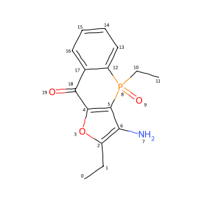 CCc1oc2c(c1N)P(=O)(CC)c1ccccc1C2=O